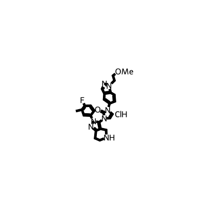 COCCn1ncc2cc(-n3ccn(-c4c5c(nn4-c4ccc(F)c(C)c4)CCNC5)c3=O)ccc21.Cl